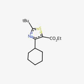 CCOC(=O)c1sc(C(C)(C)C)nc1C1CCCCC1